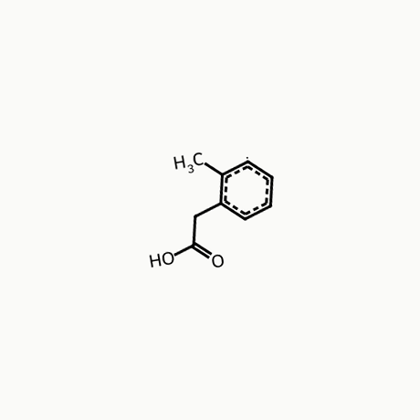 Cc1[c]cccc1CC(=O)O